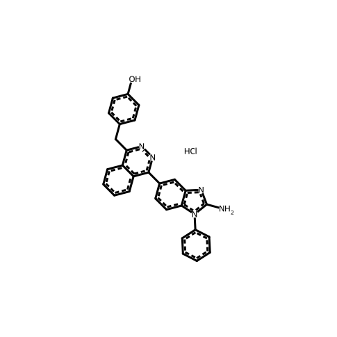 Cl.Nc1nc2cc(-c3nnc(Cc4ccc(O)cc4)c4ccccc34)ccc2n1-c1ccccc1